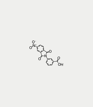 O=C(O)c1cccc(N2C(=O)c3ccc([N+](=O)[O-])cc3C2=O)c1